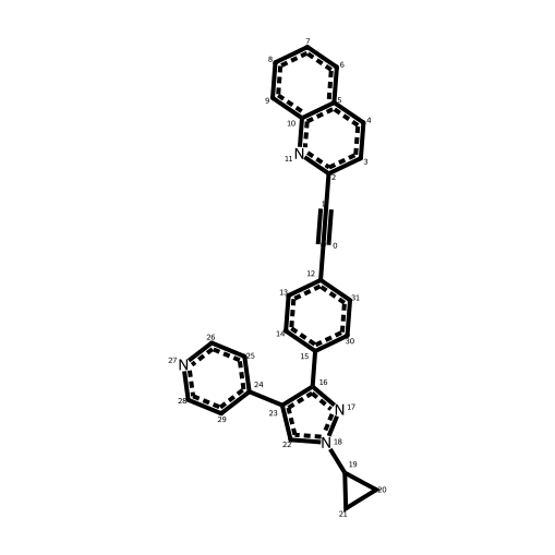 C(#Cc1ccc2ccccc2n1)c1ccc(-c2nn(C3CC3)cc2-c2ccncc2)cc1